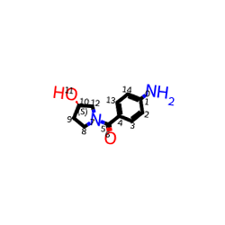 Nc1ccc(C(=O)N2CC[C@H](O)C2)cc1